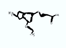 CCOc1cc(OCCC(=O)O)cc2c1CC(N)C2